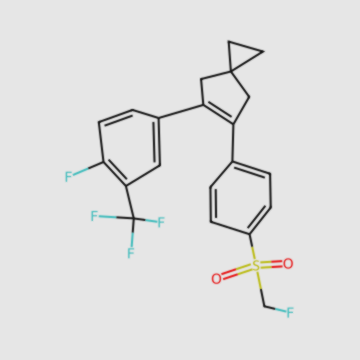 O=S(=O)(CF)c1ccc(C2=C(c3ccc(F)c(C(F)(F)F)c3)CC3(CC3)C2)cc1